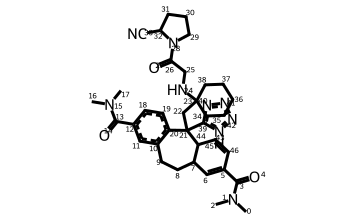 CN(C)C(=O)C1=CC2CCc3cc(C(=O)N(C)C)ccc3C(CC3(NCC(=O)N4CCCC4C#N)CCCCC3)(c3nnn[nH]3)C2C=C1